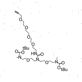 C#CCOCCOCCOCCOCCNC(=O)N(CCOCCN(C)C(=O)OC(C)(C)C)CCOCCN(C)C(=O)OC(C)(C)C